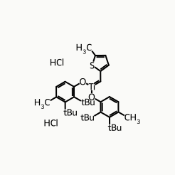 Cc1ccc([CH]=[Ti]([O]c2ccc(C)c(C(C)(C)C)c2C(C)(C)C)[O]c2ccc(C)c(C(C)(C)C)c2C(C)(C)C)s1.Cl.Cl